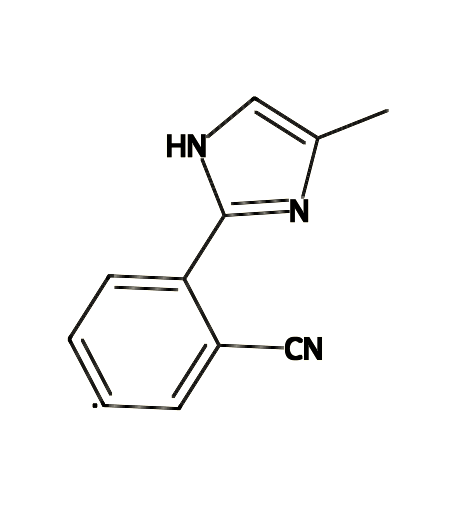 Cc1c[nH]c(-c2cc[c]cc2C#N)n1